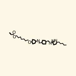 C=CC(=O)OCCCCCCCOc1ccc(N=Cc2ccc(C=Nc3ccc(CCCCC)nn3)cc2)cc1